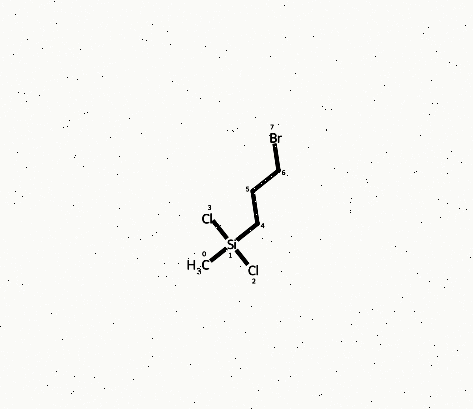 C[Si](Cl)(Cl)CCCBr